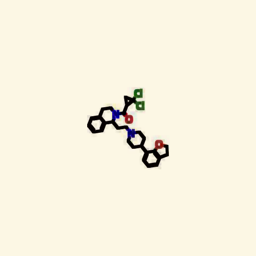 O=C(C1CC1(Cl)Cl)N1CCc2ccccc2C1CCN1CCC(c2cccc3c2OCC3)CC1